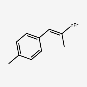 CCC/C(C)=C/c1ccc(C)cc1